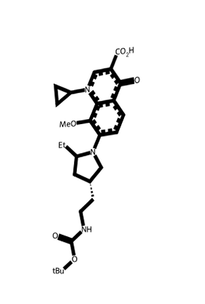 CCC1C[C@@H](CCNC(=O)OC(C)(C)C)CN1c1ccc2c(=O)c(C(=O)O)cn(C3CC3)c2c1OC